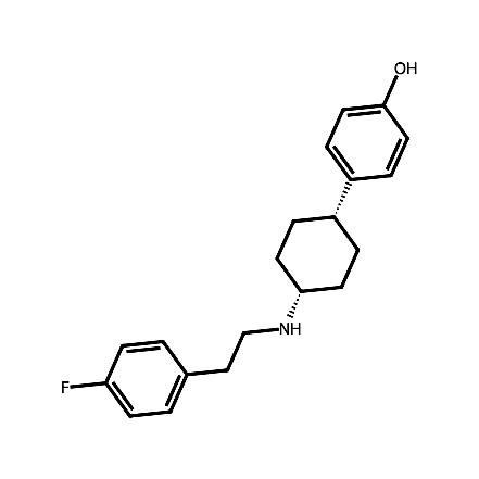 Oc1ccc([C@H]2CC[C@@H](NCCc3ccc(F)cc3)CC2)cc1